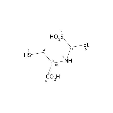 CCC(N[C@@H](CS)C(=O)O)S(=O)(=O)O